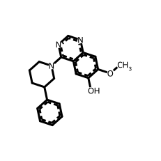 COc1cc2ncnc(N3CCCC(c4ccccc4)C3)c2cc1O